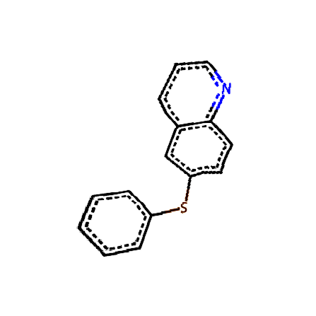 c1ccc(Sc2ccc3ncccc3c2)cc1